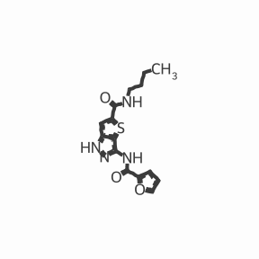 CCCCNC(=O)c1cc2[nH]nc(NC(=O)c3ccco3)c2s1